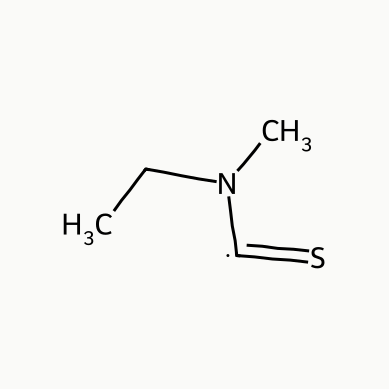 CCN(C)[C]=S